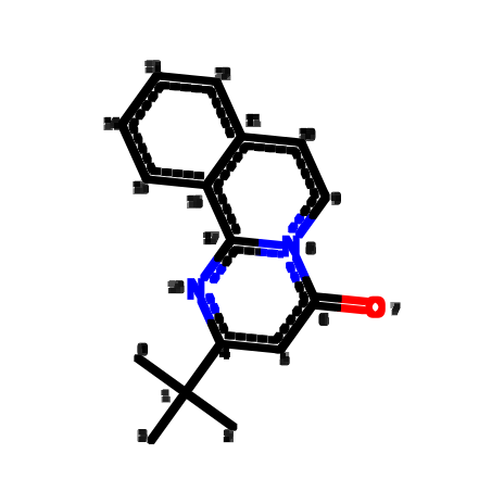 CC(C)(C)c1cc(=O)n2ccc3ccccc3c2n1